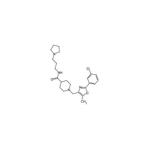 Cc1oc(-c2cccc(Cl)c2)nc1CN1CCC(C(=O)NCCCN2CCCC2)CC1